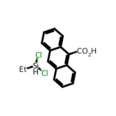 CC[SiH](Cl)Cl.O=C(O)c1c2ccccc2cc2ccccc12